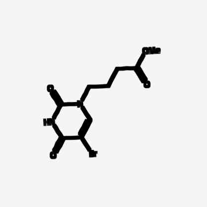 COC(=O)CCCn1cc(Br)c(=O)[nH]c1=O